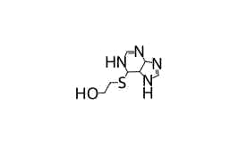 OCCSC1NC=NC2N=CNC21